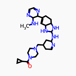 CNC1N=CC=NC1C1=CC2NC(NC3CC(CN4CCN(C(=O)C5CC5)CC4)CC=N3)NC2CC1